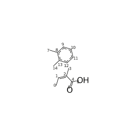 CC=C(C)C(=O)O.Cc1ccccc1C